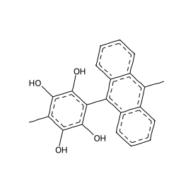 Cc1c(O)c(O)c(-c2c3ccccc3c(C)c3ccccc23)c(O)c1O